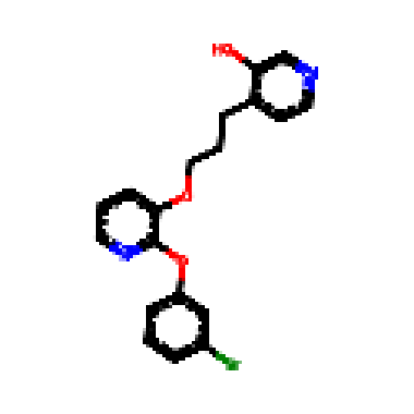 Oc1cnccc1CCCOc1cccnc1Oc1cccc(Br)c1